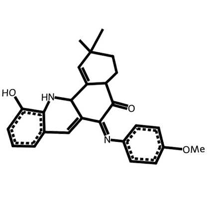 COc1ccc(/N=C2\C(=O)C3CCC(C)(C)C=C3C3Nc4c(O)cccc4C=C23)cc1